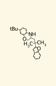 CC(C)(C)c1ccc2c(c1)OCC(CC(C)(C)c1cc3ccccc3o1)N2